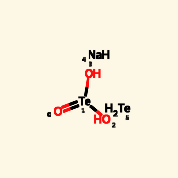 O=[Te](O)O.[NaH].[TeH2]